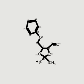 CC1(C)OC(C=O)C(COc2ccccc2)O1